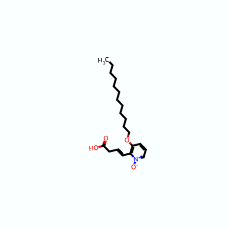 CCCCCCCCCCCCOc1ccc[n+]([O-])c1C=CCC(=O)O